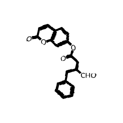 O=CC(CC(=O)Oc1ccc2ccc(=O)oc2c1)Cc1ccccc1